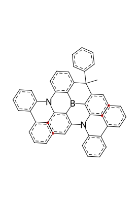 CC1(c2ccccc2)c2cccc3c2B2c4c(cccc4N(c4ccccc4-c4ccccc4)c4cccc1c42)N3c1ccccc1-c1ccccc1